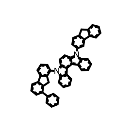 c1ccc(-c2cccc3c2Cc2c-3cccc2-n2c3ccccc3c3c4c5ccccc5n(-c5ccc6c(c5)-c5ccccc5C6)c4ccc32)cc1